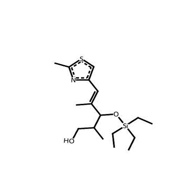 CC[Si](CC)(CC)OC(/C(C)=C/c1csc(C)n1)C(C)CO